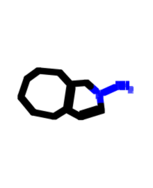 NN1C=CC2=C(CCCCCC2)C1